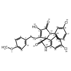 COc1ccc(CSC2=C(O)C(=O)N(c3cccc(Cl)c3)C23C(=O)Nc2cc(Cl)ccc23)cc1